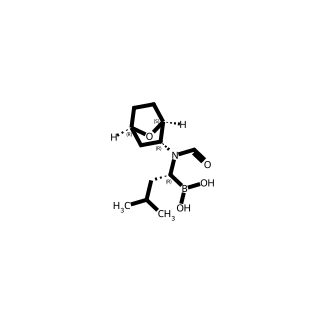 CC(C)C[C@@H](B(O)O)N(C=O)[C@@H]1C[C@H]2CC[C@@H]1O2